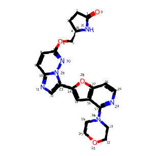 O=C1CC[C@H](COc2ccc3ncc(-c4cc5c(N6CCOCC6)nccc5o4)n3n2)N1